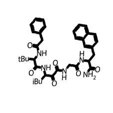 CCC(C)C(NC(=O)C(NC(=O)Cc1ccccc1)C(C)(C)C)C(=O)C(=O)NCC(=O)NC(Cc1ccc2ccccc2c1)C(N)=O